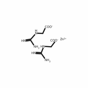 N=C(N)NCC(=O)[O-].N=C(N)NCC(=O)[O-].[Zn+2]